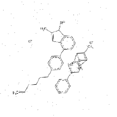 CC1=C2c3cn(-c4ccccc4)cc3C1[Si]2(C)C.CCCCCCc1ccc(-c2cccc3c2C=C(C)[CH]3[Zr+2])cc1.[Cl-].[Cl-]